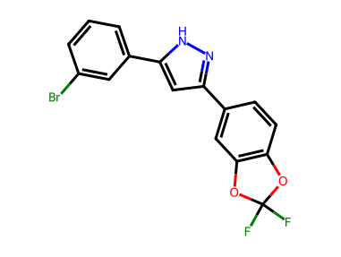 FC1(F)Oc2ccc(-c3cc(-c4cccc(Br)c4)[nH]n3)cc2O1